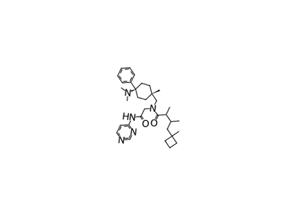 CC(CC1(C)CCC1)C(C)C(=O)N(CC(=O)Nc1ccncn1)C[C@]1(C)CC[C@@](c2ccccc2)(N(C)C)CC1